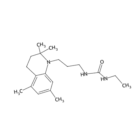 CCNC(=O)NCCCN1c2cc(C)cc(C)c2CCC1(C)C